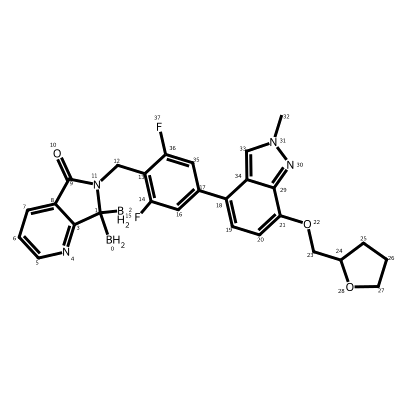 BC1(B)c2ncccc2C(=O)N1Cc1c(F)cc(-c2ccc(OCC3CCCO3)c3nn(C)cc23)cc1F